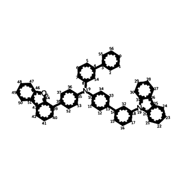 c1ccc(-c2cccc(N(c3ccc(-c4cccc(-n5c6ccccc6c6ccccc65)c4)cc3)c3ccc(-c4cccc5c4oc4ccccc45)cc3)c2)cc1